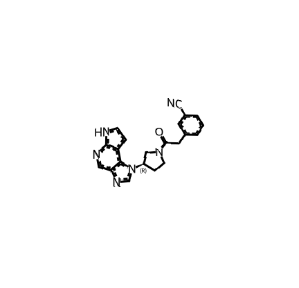 N#Cc1cccc(CC(=O)N2CC[C@@H](n3cnc4cnc5[nH]ccc5c43)C2)c1